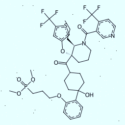 CCC[C@H]1N(C(=O)c2cnccc2C(F)(F)F)CCC[C@@]1(Oc1csc(C(F)(F)F)c1)C(=O)C1CCC(O)(c2ccccc2OCCCP(=O)(OC)OC)CC1